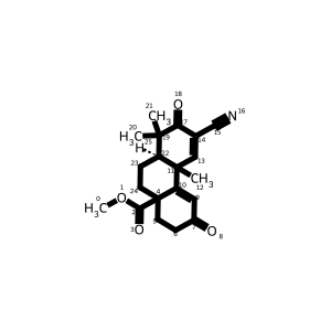 COC(=O)C12CCC(=O)C=C1C1(C)C=C(C#N)C(=O)C(C)(C)[C@@H]1CC2